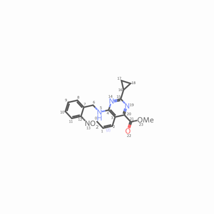 C/C=C\c1c(NCc2ccccc2[N+](=O)[O-])nc(C2CC2)nc1C(=O)OC